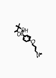 CC(OB(O)c1ccc(OCCCN(C)C)cc1)C(C)(C)C